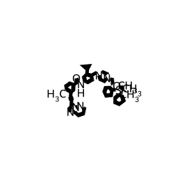 Cc1ccc(C(=O)Nc2ccc(CN3CCN(CCO[Si](c4ccccc4)(c4ccccc4)C(C)(C)C)CC3)c(C3CC3)c2)cc1C#Cc1cnc2cccnn12